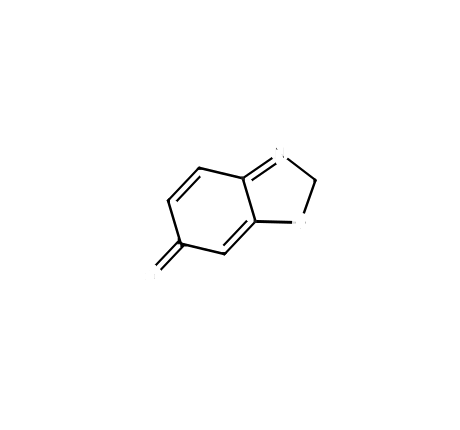 O=C1C=CC2=NCOC2=C1